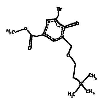 COC(=O)c1cc(Br)c(=O)n(COCC[Si](C)(C)C)c1